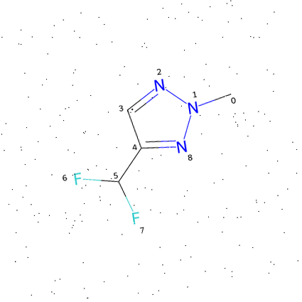 Cn1n[c]c(C(F)F)n1